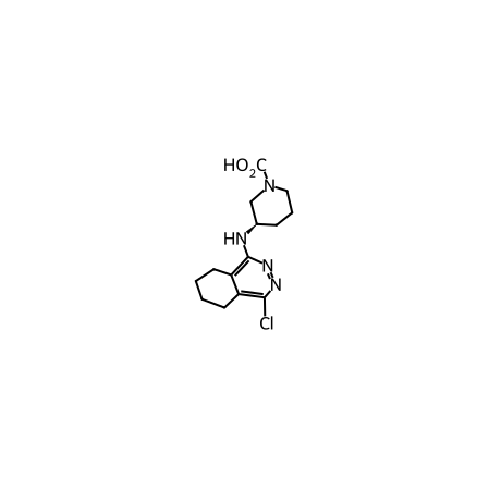 O=C(O)N1CCC[C@@H](Nc2nnc(Cl)c3c2CCCC3)C1